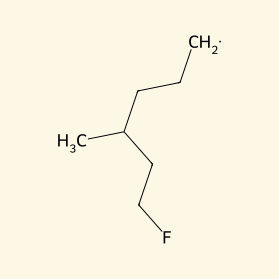 [CH2]CCC(C)CCF